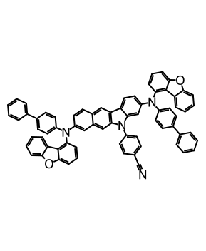 N#Cc1ccc(-n2c3cc(N(c4ccc(-c5ccccc5)cc4)c4cccc5oc6ccccc6c45)ccc3c3cc4ccc(N(c5ccc(-c6ccccc6)cc5)c5cccc6oc7ccccc7c56)cc4cc32)cc1